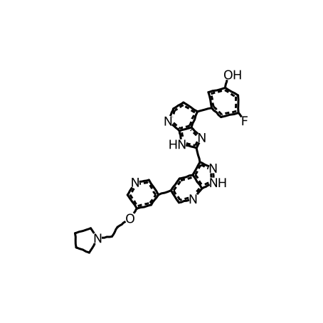 Oc1cc(F)cc(-c2ccnc3[nH]c(-c4n[nH]c5ncc(-c6cncc(OCCN7CCCC7)c6)cc45)nc23)c1